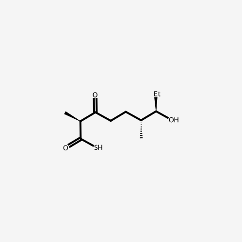 CC[C@@H](O)[C@H](C)CCC(=O)[C@H](C)C(=O)S